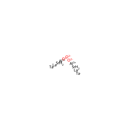 [Al+3].[Al+3].[La].[La].[O-2].[O-2].[O-2].[SrH2].[SrH2].[Ta].[Ta]